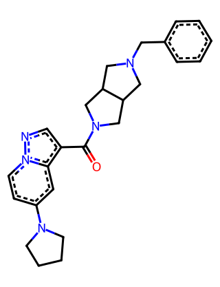 O=C(c1cnn2ccc(N3CCCC3)cc12)N1CC2CN(Cc3ccccc3)CC2C1